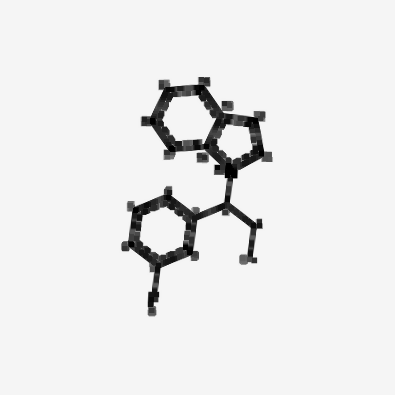 [CH2]CC(c1cccc(F)c1)n1ccc2ccccc21